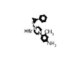 Br.Cc1cc(N)ccc1N1CCN(C[C@@H]2C[C@H]2c2ccccc2)CC1